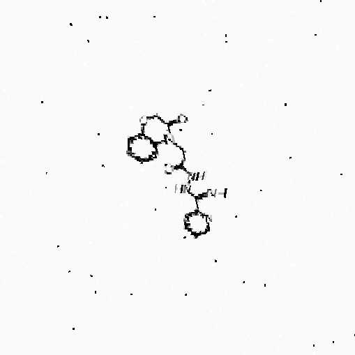 N=C(NNC(=O)CN1C(=O)COc2ccccc21)c1ccccn1